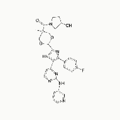 CC1(C(=O)N2CCC(O)C2)COC(c2nc(-c3ccc(F)cc3)c(-c3ccnc(Nc4cccnc4)n3)[nH]2)OC1